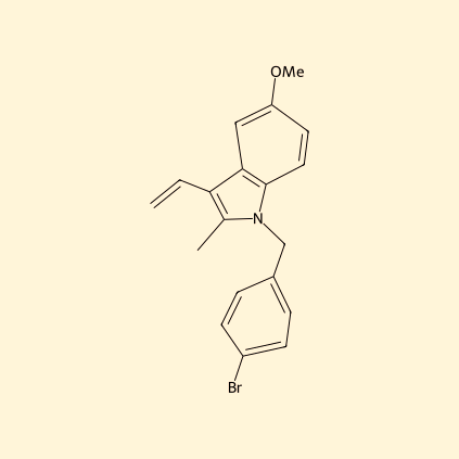 C=Cc1c(C)n(Cc2ccc(Br)cc2)c2ccc(OC)cc12